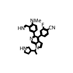 CNc1ccc(-c2ncc3c(ccn3C(C)C3CCNC3)c2-c2ccc(C#N)c(F)c2)cc1C=N